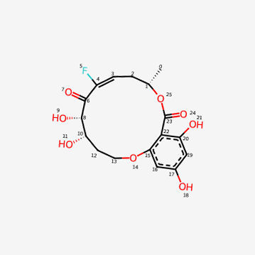 C[C@H]1C/C=C(/F)C(=O)[C@@H](O)[C@@H](O)CCOc2cc(O)cc(O)c2C(=O)O1